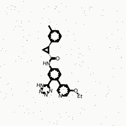 CCOc1cncc(-c2ccc(NC(=O)[C@@H]3C[C@H]3c3cccc(C)c3)cc2-c2nnn[nH]2)c1